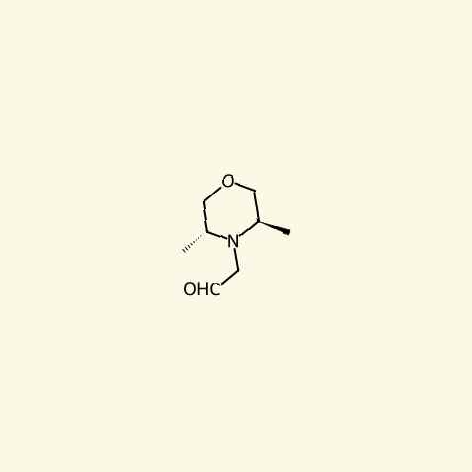 C[C@@H]1COC[C@@H](C)N1CC=O